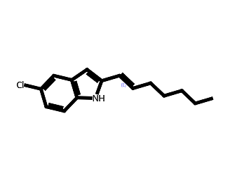 CCCCC/C=C/c1cc2cc(Cl)ccc2[nH]1